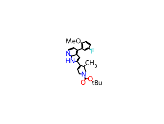 COc1ccc(F)cc1-c1ccnc2[nH]c(C3=CCN(C(=O)OC(C)(C)C)CC3C)cc12